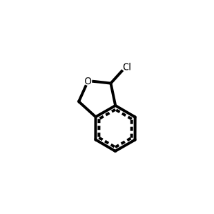 ClC1OCc2ccccc21